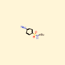 CCCCNS(=O)(=O)c1ccc([N+]#N)cc1